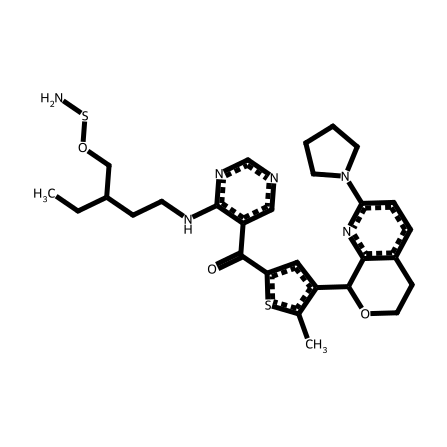 CCC(CCNc1ncncc1C(=O)c1cc(C2OCCc3ccc(N4CCCC4)nc32)c(C)s1)COSN